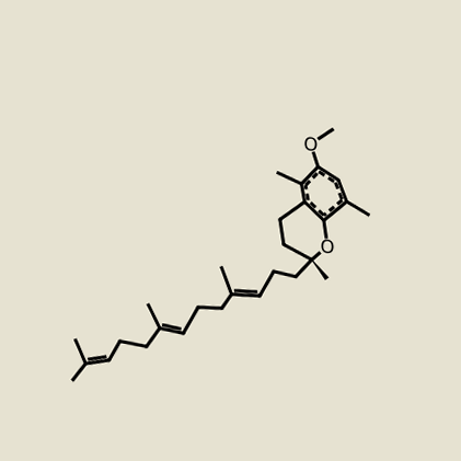 COc1cc(C)c2c(c1C)CC[C@@](C)(CC/C=C(\C)CC/C=C(\C)CCC=C(C)C)O2